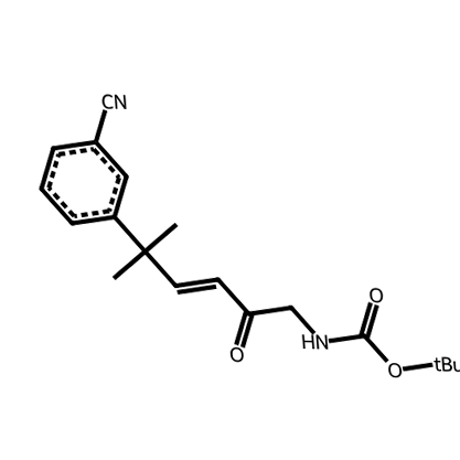 CC(C)(C)OC(=O)NCC(=O)/C=C/C(C)(C)c1cccc(C#N)c1